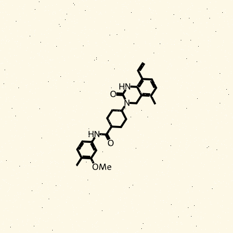 C=Cc1ccc(C)c2c1NC(=O)N(C1CCC(C(=O)Nc3ccc(C)c(OC)c3)CC1)C2